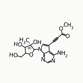 COC(=O)C#Cc1cn(C2OC(CO)C(O)[C@@]2(C)O)c2ncnc(N)c12